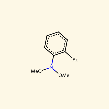 CON(OC)c1ccccc1C(C)=O